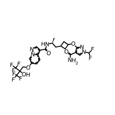 C[C@@H](CC1CC(Oc2nn(C(F)F)cc2C(N)=O)C1)NC(=O)c1cnn2cc(OCC(O)(C(F)(F)F)C(F)(F)F)ccc12